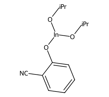 CC(C)[O][In]([O]c1ccccc1C#N)[O]C(C)C